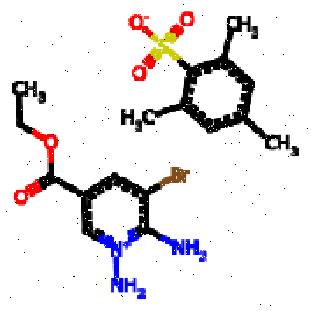 CCOC(=O)c1cc(Br)c(N)[n+](N)c1.Cc1cc(C)c(S(=O)(=O)[O-])c(C)c1